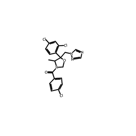 CC1N(C(=O)c2ccc(Cl)cc2)COC1(Cn1cncn1)c1ccc(Cl)cc1Cl